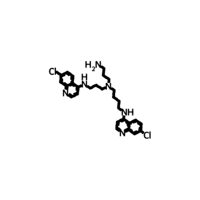 NCCCN(CCCCNc1ccnc2cc(Cl)ccc12)CCCNc1ccnc2cc(Cl)ccc12